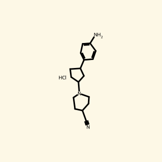 Cl.N#CC1CCN(C2CCC(c3ccc(N)cc3)C2)CC1